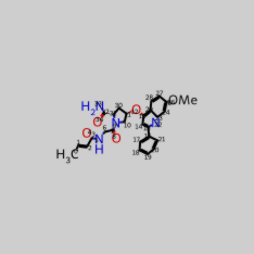 C/C=C/C(=O)NCC(=O)N1C[C@H](Oc2cc(-c3ccccc3)nc3cc(OC)ccc23)C[C@H]1C(N)=O